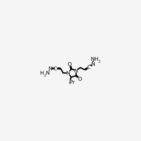 CC(C)C1C(=O)N(CC=C=NN)C(=O)N1CC=C=NN